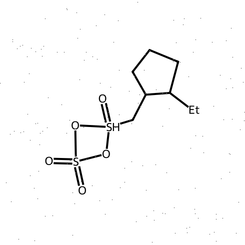 CCC1CCCC1C[SH]1(=O)OS(=O)(=O)O1